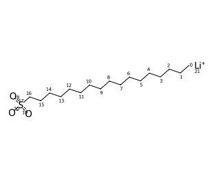 CCCCCCCCCCCCCCCCCS(=O)(=O)[O-].[Li+]